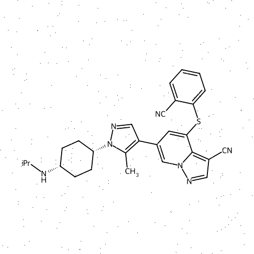 Cc1c(-c2cc(Sc3ccccc3C#N)c3c(C#N)cnn3c2)cnn1[C@H]1CC[C@@H](NC(C)C)CC1